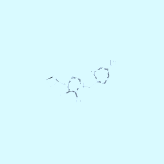 O=c1c(=O)n(C23CC(C2)C3)ccn1Cc1ccc(Br)cn1